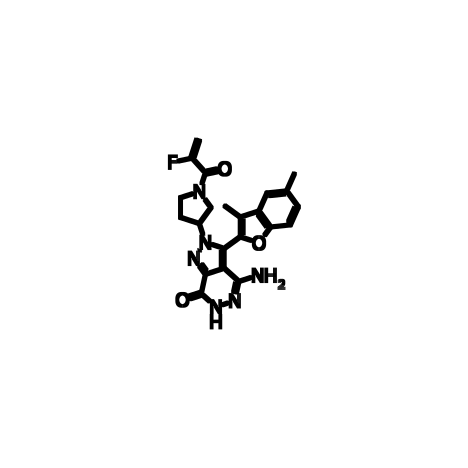 C=C(F)C(=O)N1CCC(n2nc3c(=O)[nH]nc(N)c3c2-c2oc3ccc(C)cc3c2C)C1